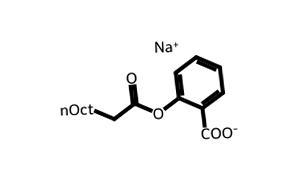 CCCCCCCCCC(=O)Oc1ccccc1C(=O)[O-].[Na+]